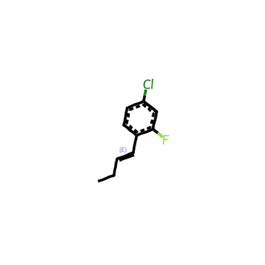 CC/C=C/c1ccc(Cl)cc1F